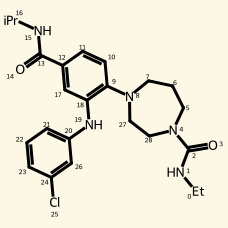 CCNC(=O)N1CCCN(c2ccc(C(=O)NC(C)C)cc2Nc2cccc(Cl)c2)CC1